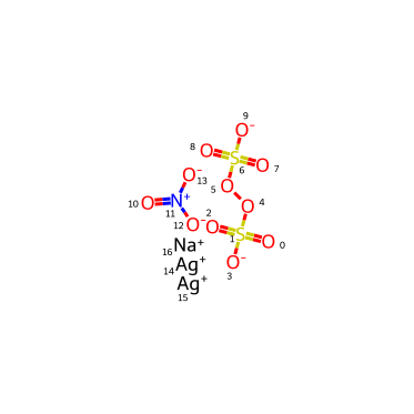 O=S(=O)([O-])OOS(=O)(=O)[O-].O=[N+]([O-])[O-].[Ag+].[Ag+].[Na+]